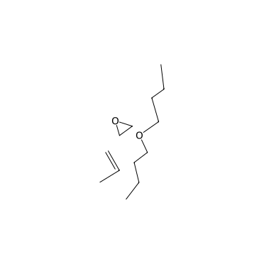 C1CO1.C=CC.CCCCOCCCC